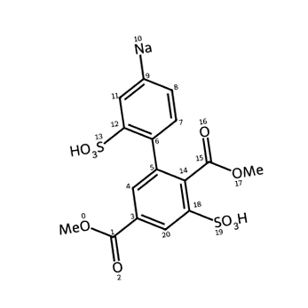 COC(=O)c1cc(-c2cc[c]([Na])cc2S(=O)(=O)O)c(C(=O)OC)c(S(=O)(=O)O)c1